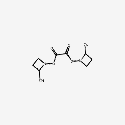 N#CC1CCN1OC(=O)C(=O)ON1CCC1C#N